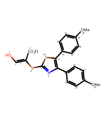 CCOC(=O)/C(=C\O)Sc1nc(-c2ccc(OC)cc2)c(-c2ccc(OC)cc2)s1